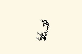 Bc1cc(B)c2sccc2c1N1CCN(CCCCOc2ccc3ccc(=O)[nH]c3c2)CC1